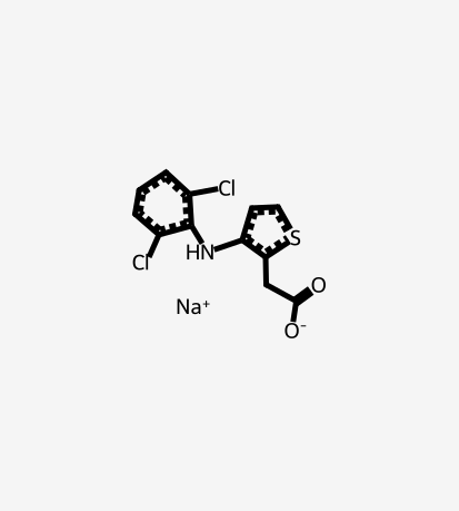 O=C([O-])Cc1sccc1Nc1c(Cl)cccc1Cl.[Na+]